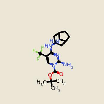 CC(C)(C)OC(=O)N1C=C(C(F)(F)F)C(NC2CC3CCC(C2)C3N)=NC1N